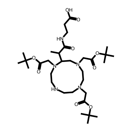 CC(C(=O)NCCC(=O)O)C1CN(CC(=O)OC(C)(C)C)CCN(CC(=O)OC(C)(C)C)CCNCCN1CC(=O)OC(C)(C)C